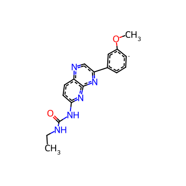 CCNC(=O)Nc1ccc2ncc(-c3cc[c]c(OC)c3)nc2n1